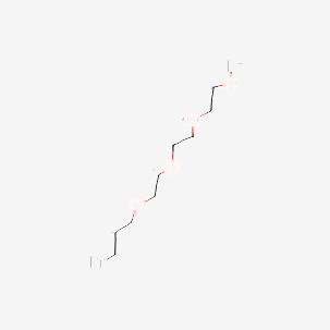 CCOCCOCCOCCOCCCC(C)C